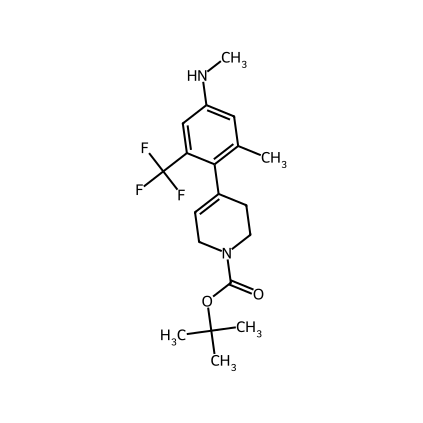 CNc1cc(C)c(C2=CCN(C(=O)OC(C)(C)C)CC2)c(C(F)(F)F)c1